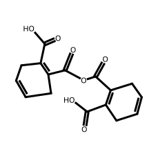 O=C(O)C1=C(C(=O)OC(=O)C2=C(C(=O)O)CC=CC2)CC=CC1